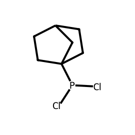 ClP(Cl)C12CCC(CC1)C2